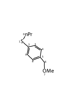 CCCSc1ccc(COC)cc1